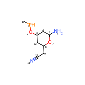 CPOC1CC(N)OC(CC#N)C1